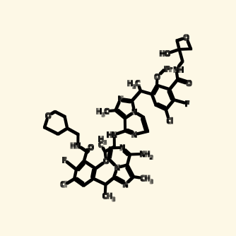 Cc1nc(C(C)c2cc(Cl)c(F)c(C(=O)NCC3CCOCC3)c2OC(C)CNc2nccn3c(C(C)c4cc(Cl)c(F)c(C(=O)NCC5(O)COC5)c4OC(C)C)nc(C)c23)n2ccnc(N)c12